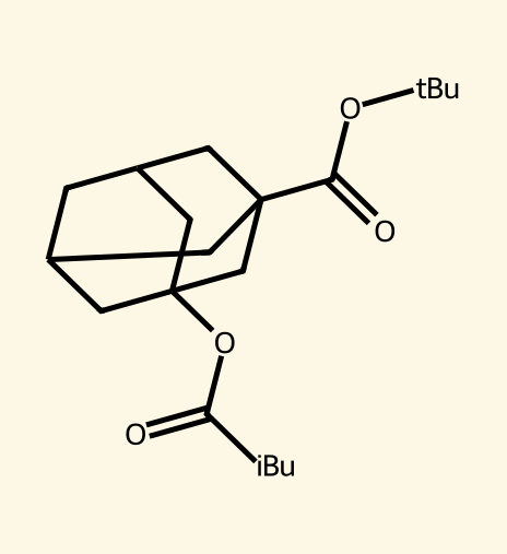 CCC(C)C(=O)OC12CC3CC(C1)CC(C(=O)OC(C)(C)C)(C3)C2